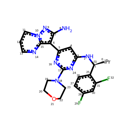 CC(C)[C@H](Nc1cc(-c2c(N)nn3cccnc23)nc(N2CCOCC2)n1)c1ccc(F)cc1F